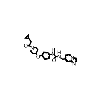 O=C(NCc1ccn2ccnc2c1)Nc1ccc(OC2CCN(C(=O)CC3CC3)CC2)cc1